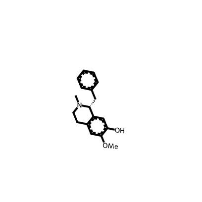 COc1cc2c(cc1O)[C@@H](Cc1ccccc1)N(C)CC2